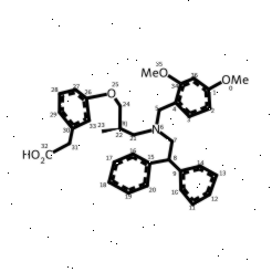 COc1ccc(CN(CC(c2ccccc2)c2ccccc2)C[C@@H](C)COc2cccc(CC(=O)O)c2)c(OC)c1